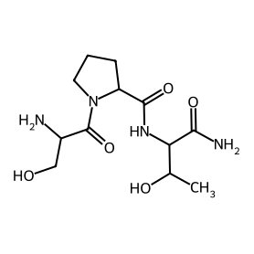 CC(O)C(NC(=O)C1CCCN1C(=O)C(N)CO)C(N)=O